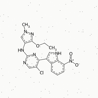 CCOc1nn(C)cc1Nc1ncc(Cl)c(-c2c[nH]c3c([N+](=O)[O-])cccc23)n1